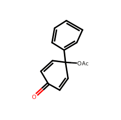 CC(=O)OC1(c2ccccc2)C=CC(=O)C=C1